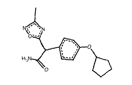 Cc1noc(C(C(N)=O)c2ccc(OC3CCCC3)cc2)n1